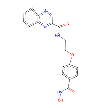 O=C(NO)c1ccc(OCCNC(=O)c2cnc3ccccc3n2)cc1